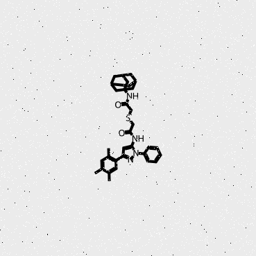 Cc1cc(C)c(-c2cc(NC(=O)CSCC(=O)NC34CC5CC(CC(C5)C3)C4)n(-c3ccccc3)n2)cc1C